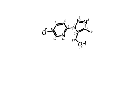 Cc1nnn(-c2ccc(Cl)cn2)c1CO